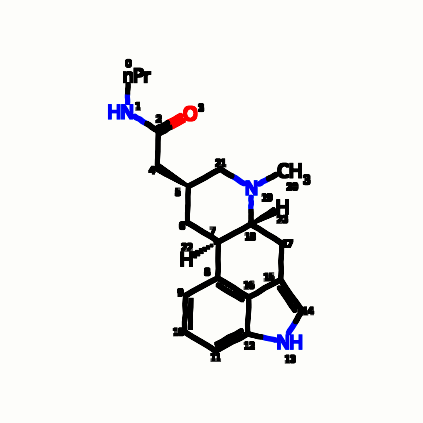 CCCNC(=O)C[C@@H]1C[C@@H]2c3cccc4[nH]cc(c34)C[C@H]2N(C)C1